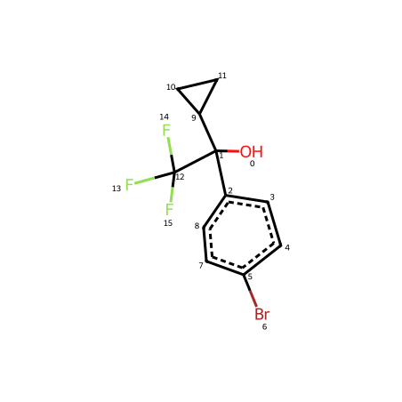 OC(c1ccc(Br)cc1)(C1CC1)C(F)(F)F